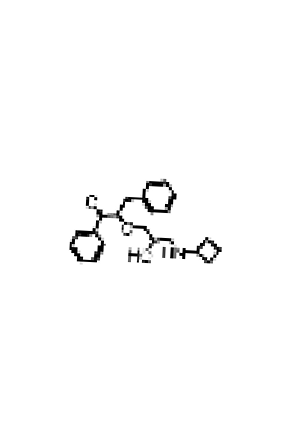 O=C(c1ccccc1)C(Cc1ccccc1)OCC(O)CNC1CCC1